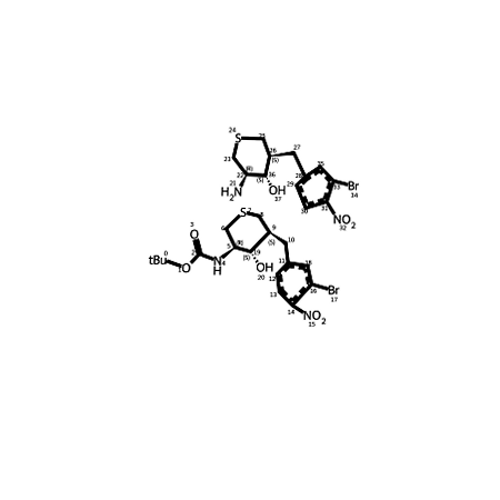 CC(C)(C)OC(=O)N[C@H]1CSC[C@@H](Cc2ccc([N+](=O)[O-])c(Br)c2)[C@@H]1O.N[C@H]1CSC[C@@H](Cc2ccc([N+](=O)[O-])c(Br)c2)[C@@H]1O